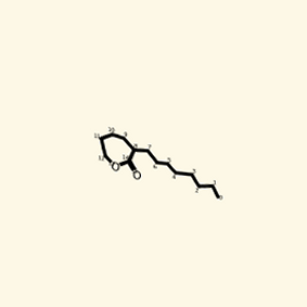 CCCCCCCCC1CCCCOC1=O